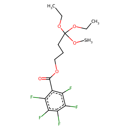 CCOC(CCCOC(=O)c1c(F)c(F)c(F)c(F)c1F)(O[SiH3])OCC